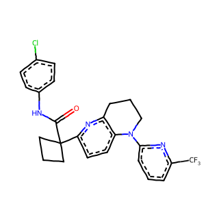 O=C(Nc1ccc(Cl)cc1)C1(c2ccc3c(n2)CCCN3c2cccc(C(F)(F)F)n2)CCC1